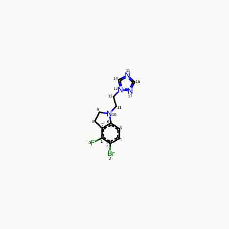 Fc1c(Br)ccc2c1CCN2CCn1cncn1